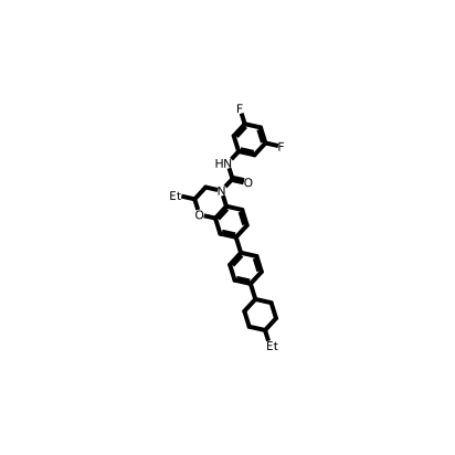 CCC1CCC(c2ccc(-c3ccc4c(c3)OC(CC)CN4C(=O)Nc3cc(F)cc(F)c3)cc2)CC1